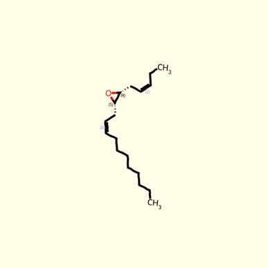 CC/C=C\C[C@H]1O[C@H]1C/C=C\CCCCCCCC